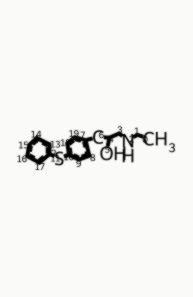 CCNCC(O)Cc1ccc(Sc2ccccc2)cc1